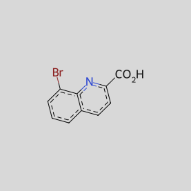 O=C(O)c1ccc2cccc(Br)c2n1